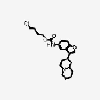 CC/C=C/CCOC(=O)Nc1ccc2occ(C3CCN4CCCCC4C3)c2c1